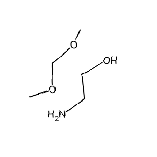 COCOC.NCCO